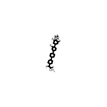 C/C(F)=C(\F)c1ccc(-c2ccc(-c3ccc(-c4cc(F)c(S(F)(F)(F)(F)F)c(F)c4)c(F)c3)cc2)cc1